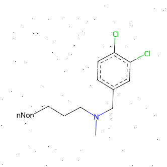 CCCCCCCCCCCCN(C)Cc1ccc(Cl)c(Cl)c1